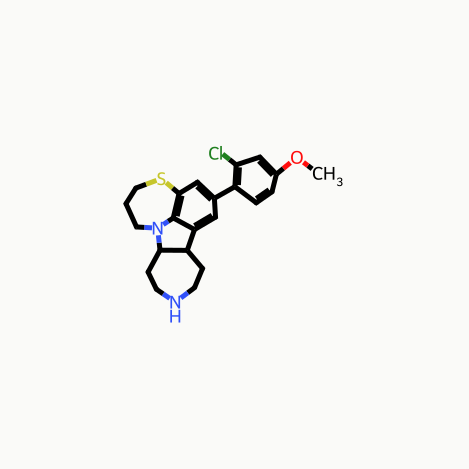 COc1ccc(-c2cc3c4c(c2)C2CCNCCC2N4CCCS3)c(Cl)c1